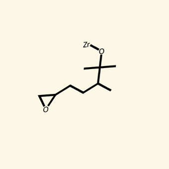 CC(CCC1CO1)C(C)(C)[O][Zr]